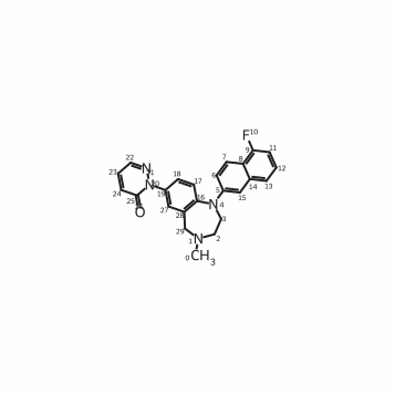 CN1CCN(c2ccc3c(F)cccc3c2)c2ccc(-n3ncccc3=O)cc2C1